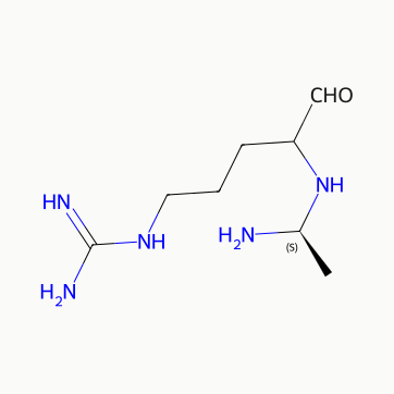 C[C@@H](N)NC(C=O)CCCNC(=N)N